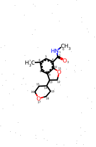 CNC(=O)c1cc(C)cc2c1OCC2C1CCOCC1